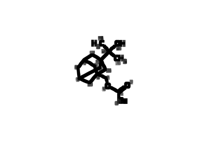 CCC(C)C(=O)OCC12CC3CC(C1)CC(C(C)(C)O)(C3)C2